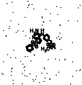 CNS(=O)(=O)C[C@H]1CC[C@H](Nc2c(N)cnc3c2ccn3S(=O)(=O)c2ccccc2)CC1